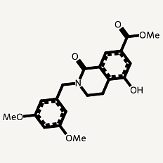 COC(=O)c1cc(O)c2c(c1)C(=O)N(Cc1cc(OC)cc(OC)c1)CC2